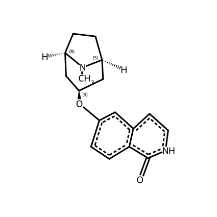 CN1[C@@H]2CC[C@H]1C[C@@H](Oc1ccc3c(=O)[nH]ccc3c1)C2